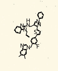 C=CCn1c(NCc2cn(-c3ccccc3)nc2-c2ccc(-c3ccc(Cn4cnc5cc(C)c(C)cc54)c(F)c3)s2)nc2ccccc21